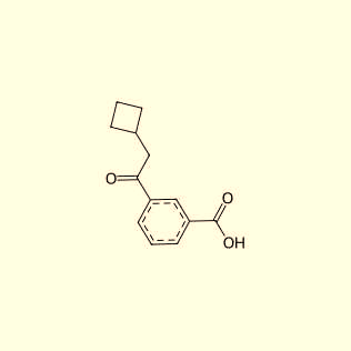 O=C(O)c1cccc(C(=O)CC2CCC2)c1